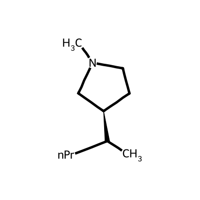 CCCC(C)[C@@H]1CCN(C)C1